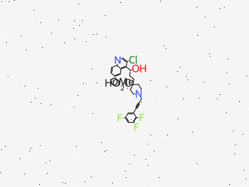 COc1ccc2ncc(Cl)c(C(O)CCC3(C(=O)O)CCN(CC#Cc4cc(F)cc(F)c4F)CC3)c2c1